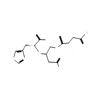 NC(=O)C[C@H](N)C(=O)NCC(CC(=O)O)N[C@@H](Cc1c[nH]cn1)C(=O)O